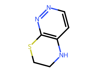 c1cc2c(nn1)SCCN2